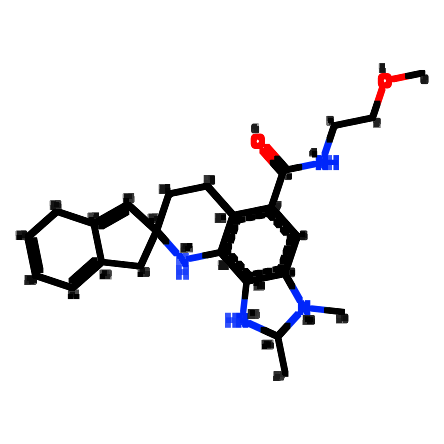 COCCNC(=O)c1cc2c(c3c1CCC1(C=C4CC=CC=C4C1)N3)NC(C)N2C